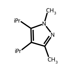 Cc1nn(C)c(C(C)C)c1C(C)C